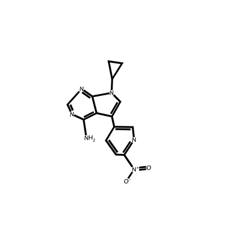 Nc1ncnc2c1c(-c1ccc([N+](=O)[O-])nc1)cn2C1CC1